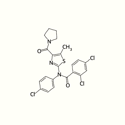 Cc1sc(N(C(=O)c2ccc(Cl)cc2Cl)c2ccc(Cl)cc2)nc1C(=O)N1CCCC1